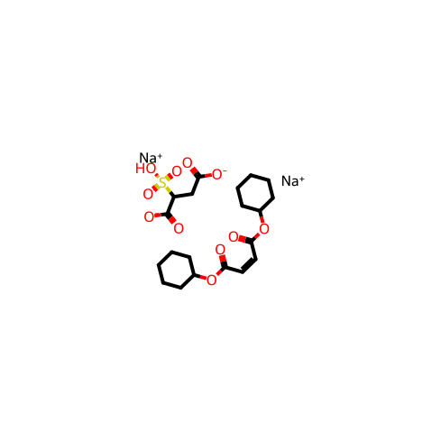 O=C(/C=C\C(=O)OC1CCCCC1)OC1CCCCC1.O=C([O-])CC(C(=O)[O-])S(=O)(=O)O.[Na+].[Na+]